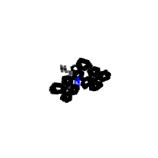 CC1(C2=CC(c3cccc([Si](c4ccccc4)(c4ccccc4)C4C=CC=CC4)c3)NC(C3C=C([Si](c4ccccc4)(c4ccccc4)c4ccccc4)C=CC3)=C2)C=CC=CC1